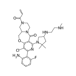 C=CC(=O)N1CCN2C(=O)c3c(N4CC(NCCNC)CC4(C)C)nc(-c4c(N)cccc4F)c(Cl)c3OCC2C1